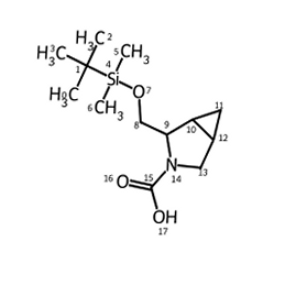 CC(C)(C)[Si](C)(C)OCC1C2CC2CN1C(=O)O